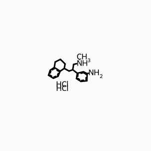 CNCC(CC1CCCc2ccccc21)c1cccc(N)c1.Cl.Cl